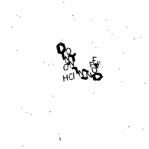 Cc1cn(CCCN2CCN(c3ccccc3OCC(F)(F)F)CC2)c(=O)n(Cc2ccccc2)c1=O.Cl